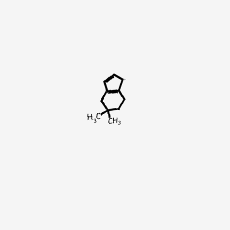 CC1(C)CCC2=C(C=C[CH]2)C1